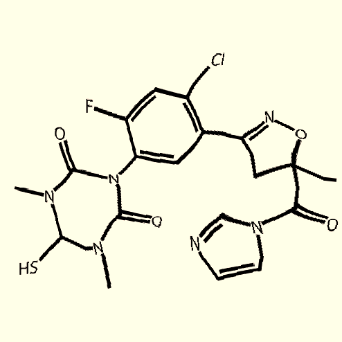 CN1C(=O)N(c2cc(C3=NOC(C)(C(=O)n4ccnc4)C3)c(Cl)cc2F)C(=O)N(C)C1S